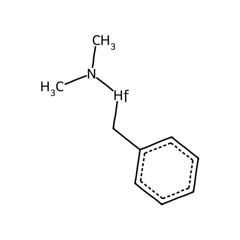 C[N](C)[Hf][CH2]c1ccccc1